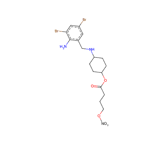 Nc1c(Br)cc(Br)cc1CNC1CCC(OC(=O)CCCO[N+](=O)[O-])CC1